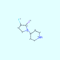 FC1CCN(C2CCNCC2)C1I